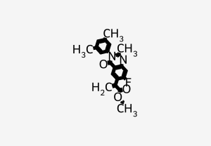 C=C(C(=O)OCC)c1cc2c(=O)n(-c3cc(C)cc(C)c3)c(C)nc2cc1F